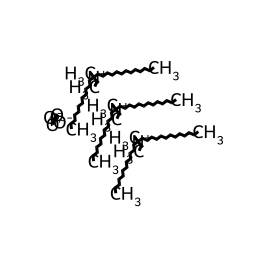 CCCCCCCCCCCCC[N+](C)(CC)CCCCCCCCCCCC.CCCCCCCCCCCCC[N+](C)(CC)CCCCCCCCCCCC.CCCCCCCCCCCCC[N+](C)(CC)CCCCCCCCCCCC.O=P([O-])([O-])[O-]